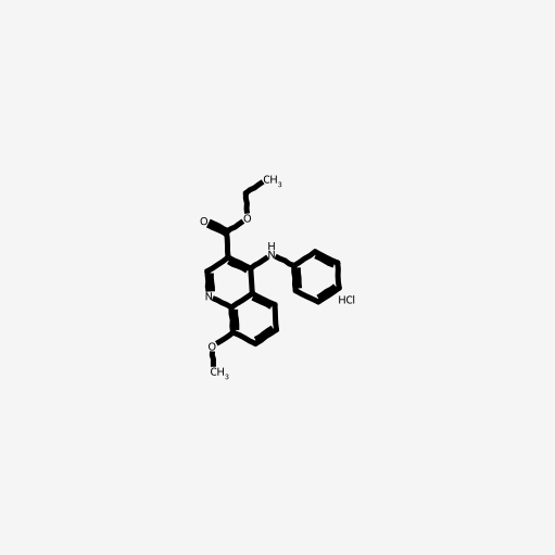 CCOC(=O)c1cnc2c(OC)cccc2c1Nc1ccccc1.Cl